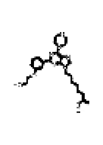 C=C(CCCCCCn1cnc2c(N3CCOCC3)nc(-c3cccc(OCCO)c3)nc21)NO